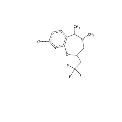 CC1c2ccc(Cl)nc2OC(CC(F)(F)F)CN1C